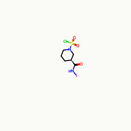 O=C(NI)[C@H]1CCCN(S(=O)(=O)Cl)C1